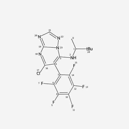 CC(Nc1c(-c2c(F)c(F)c(F)c(F)c2F)c(Cl)nc2ncnn12)C(C)(C)C